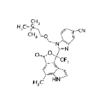 Cc1cc2c(c3cc[nH]c13)C(c1nc3cc(C#N)ccc3n1COCC[Si](C)(C)C)(C(F)(F)F)OC2=O